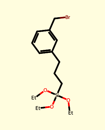 CCO[Si](CCCc1cccc(CBr)c1)(OCC)OCC